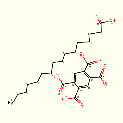 CCCCCCCCCCCCCCCC(=O)O.O=C(O)c1cc(C(=O)O)c(C(=O)O)cc1C(=O)O